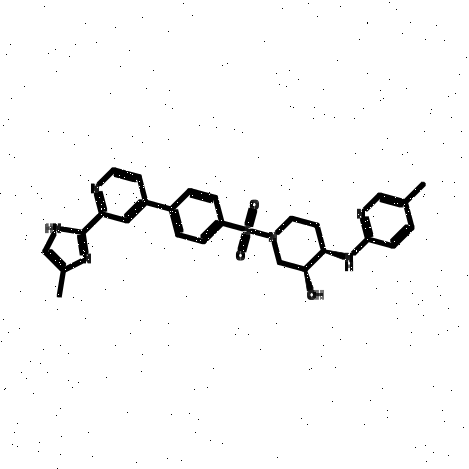 Cc1ccc(N[C@@H]2CCN(S(=O)(=O)c3ccc(-c4ccnc(-c5nc(C)c[nH]5)c4)cc3)C[C@@H]2O)nc1